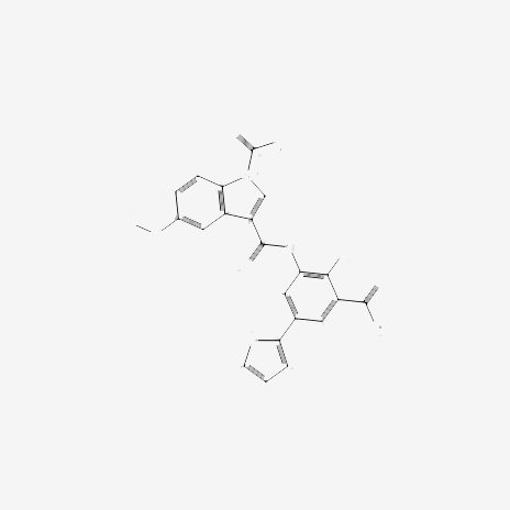 COc1ccc2c(c1)c(C(=O)Nc1cc(-c3ccco3)cc(C(=O)O)c1C)cn2C(C)=O